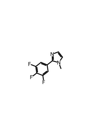 Cn1ccnc1-c1cc(F)c(F)c(F)c1